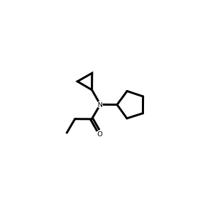 CCC(=O)N(C1CCCC1)C1CC1